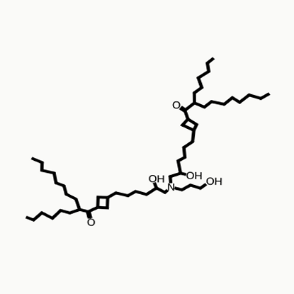 CCCCCCCCC(CCCCCC)C(=O)C1CC(CCCCC(O)CN(CCCO)CC(O)CCCCC2CC(C(=O)C(CCCCCC)CCCCCCCC)C2)C1